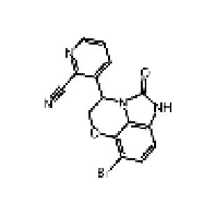 N#Cc1ncccc1C1COc2c(Br)ccc3[nH]c(=O)n1c23